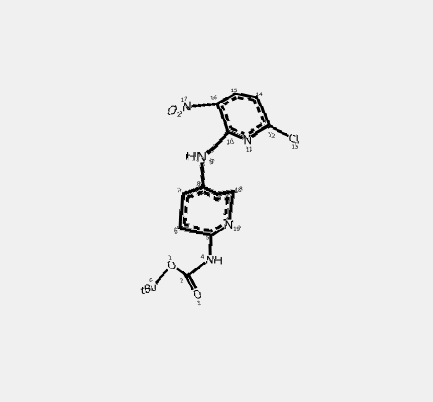 CC(C)(C)OC(=O)Nc1ccc(Nc2nc(Cl)ccc2[N+](=O)[O-])cn1